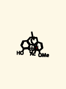 COC12C=CC3(C[C@@H]1C(C)=O)C1Cc4ccc(O)c5c4[C@@]3(CCN1C)[C@H]2O5